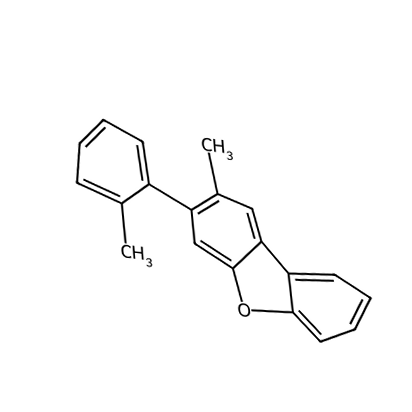 Cc1ccccc1-c1cc2oc3ccccc3c2cc1C